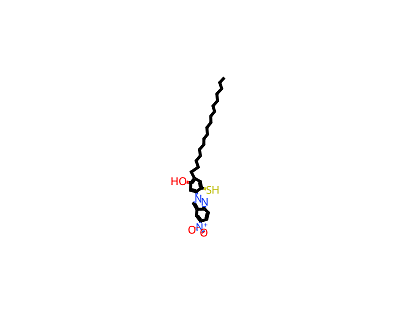 CCCCCCCCCCCCCCCCCCc1cc(S)c(-n2cc3cc([N+](=O)[O-])ccc3n2)cc1O